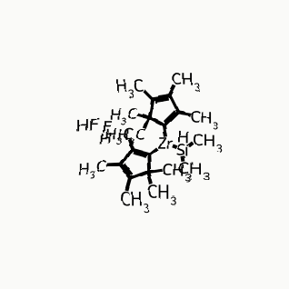 CC1=C(C)C(C)(C)[C]([Zr]([C]2=C(C)C(C)=C(C)C2(C)C)[SiH](C)C)=C1C.F.F